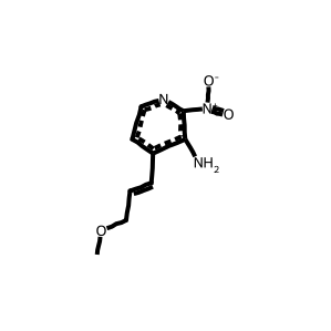 COC/C=C/c1ccnc([N+](=O)[O-])c1N